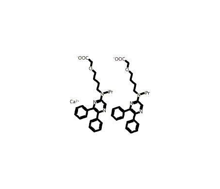 CC(C)N(CCCCOCC(=O)[O-])c1cnc(-c2ccccc2)c(-c2ccccc2)n1.CC(C)N(CCCCOCC(=O)[O-])c1cnc(-c2ccccc2)c(-c2ccccc2)n1.[Ca+2]